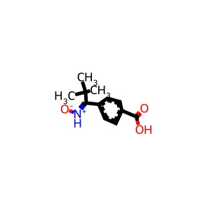 CC(C)(C)C(=[NH+][O-])c1ccc(C(=O)O)cc1